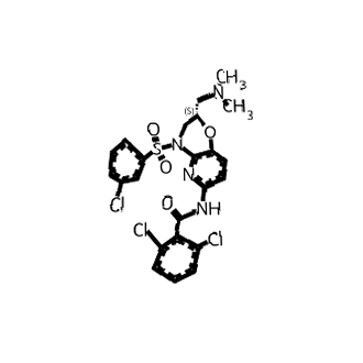 CN(C)C[C@H]1CN(S(=O)(=O)c2cccc(Cl)c2)c2nc(NC(=O)c3c(Cl)cccc3Cl)ccc2O1